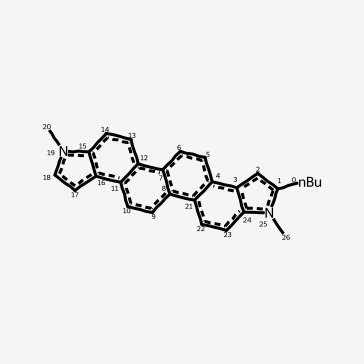 CCCCc1cc2c3ccc4c(ccc5c4ccc4c5ccn4C)c3ccc2n1C